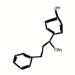 CC(C)c1ccc(C(O)CCc2ccccc2)cc1